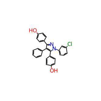 Oc1ccc(-c2nn(-c3cccc(Cl)c3)c(-c3ccc(O)cc3)c2-c2ccccc2)cc1